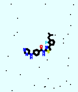 CC(C)Cc1cccc(-c2csc(NC(=O)c3ccc(Nc4ccncn4)cc3)n2)c1F